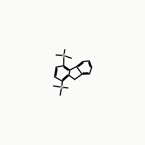 C[Si](C)(C)c1ccc([Si](C)(C)C)c2c1[CH]c1ccccc1-2